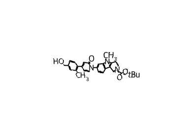 Cc1cc(CO)ccc1-c1ccn(-c2ccc3c4c(n(C)c3c2)CCN(C(=O)OC(C)(C)C)C4)c(=O)c1